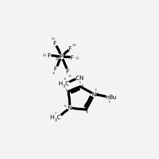 CC#N.CCCC[n+]1ccn(C)c1.F[P-](F)(F)(F)(F)F